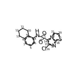 O=S(=O)(Nc1cccc2c1CCCC2)c1c(Cl)nc2sccn12